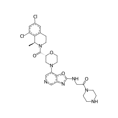 C[C@H]1c2c(Cl)cc(Cl)cc2CCN1C(=O)[C@H]1CN(c2cncc3nc(NCC(=O)N4CCNCC4)oc23)CCO1